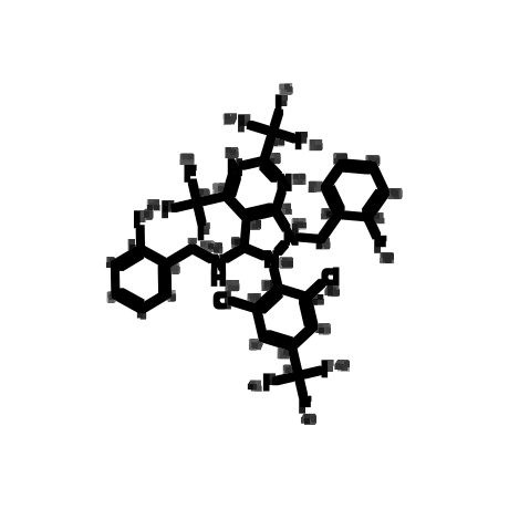 Fc1ccccc1CNC1c2c(nc(C(F)(F)F)nc2C(F)(F)F)N(Cc2ccccc2F)N1c1c(Cl)cc(C(F)(F)F)cc1Cl